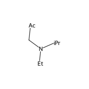 CCN(CC(C)=O)C(C)C